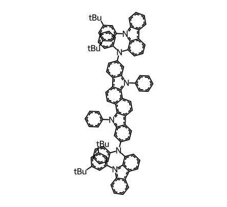 CC(C)(C)c1cc(-n2c3ccccc3c3cccc(N(c4ccccc4)c4ccc5c6ccc7c(ccc8c9ccc(N(c%10ccccc%10)c%10cccc%11c%12ccccc%12n(-c%12cc(C(C)(C)C)cc(C(C)(C)C)c%12)c%10%11)cc9n(-c9ccccc9)c87)c6n(-c6ccccc6)c5c4)c32)cc(C(C)(C)C)c1